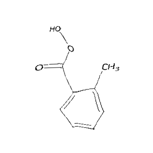 Cc1ccccc1C(=O)OO